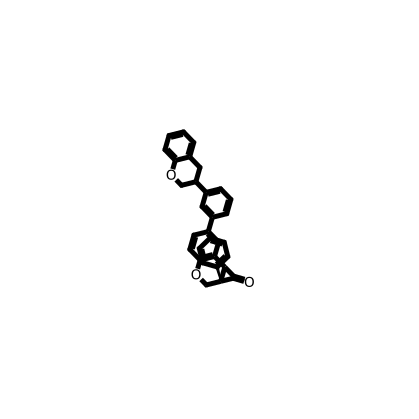 O=C1C2c3cc(-c4cccc(C5COc6ccccc6C5)c4)ccc3OC[C@@]12c1ccccc1